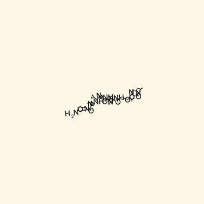 C=C1CC2C=Nc3cc(OCCCC(=O)Nc4cn(C)c(C(=O)Nc5cc(C(Nc6cc(C(=O)N7Cc8ccc(N)cc8C7)n(C)c6)=C6CC6)n(C)c5)n4)c(C)cc3C(=O)N2C1